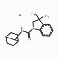 CC1(C)CN(C(=O)NC2CN3CCC2CC3)c2ccccc21.Cl